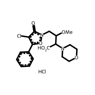 COC(Cn1oc(-c2ccccc2)c(Cl)c1=O)C(C(=O)O)N1CCOCC1.Cl